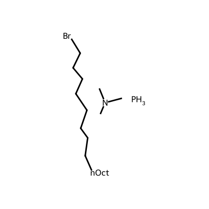 CCCCCCCCCCCCCCCCBr.CN(C)C.P